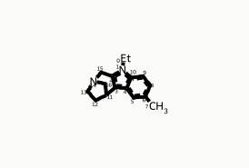 CCn1c2c(c3cc(C)ccc31)C1CCN(C2)C1